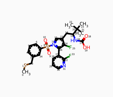 CSCc1cccc(S(=O)(=O)n2cc(CC(NC(=O)O)C(C)(C)C)c(F)c2-c2cccnc2F)c1